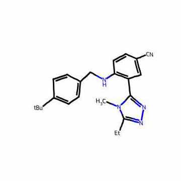 CCc1nnc(-c2cc(C#N)ccc2NCc2ccc(C(C)(C)C)cc2)n1C